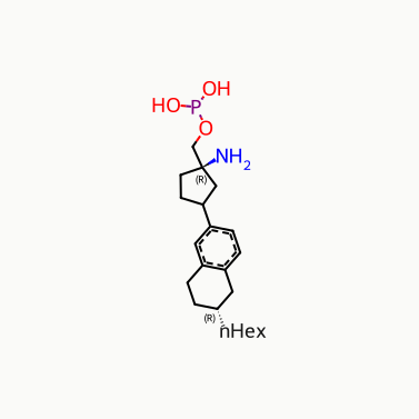 CCCCCC[C@@H]1CCc2cc(C3CC[C@](N)(COP(O)O)C3)ccc2C1